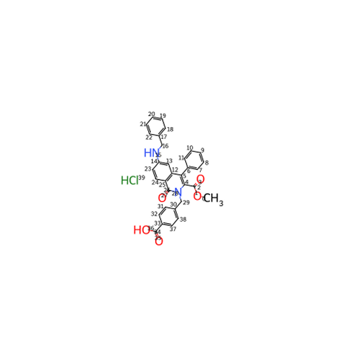 COC(=O)c1c(-c2ccccc2)c2cc(NCc3ccccc3)ccc2c(=O)n1Cc1ccc(C(=O)O)cc1.Cl